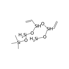 C=C[SiH](O[SiH3])O[SiH](C=C)O[SiH2]O[Si](C)(C)C